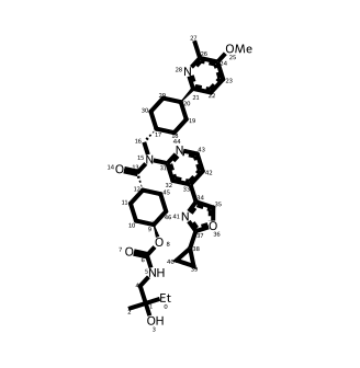 CCC(C)(O)CNC(=O)O[C@H]1CC[C@H](C(=O)N(C[C@H]2CC[C@H](c3ccc(OC)c(C)n3)CC2)c2cc(-c3coc(C4CC4)n3)ccn2)CC1